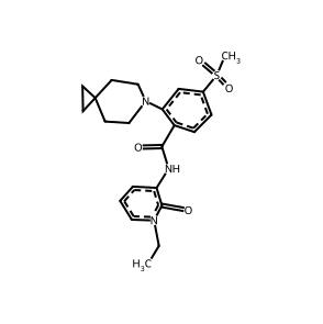 CCn1cccc(NC(=O)c2ccc(S(C)(=O)=O)cc2N2CCC3(CC2)CC3)c1=O